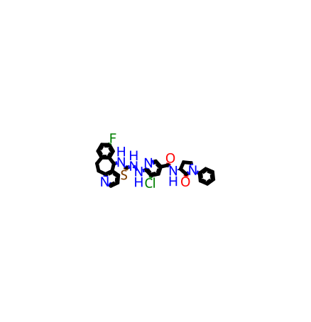 O=C(N[C@@H]1CCN(c2ccccc2)C1=O)c1cnc(NNC(=S)NC2c3cc(F)ccc3CCc3ncccc32)c(Cl)c1